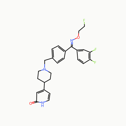 O=c1cc(C2CCN(Cc3ccc(C(=NOCCF)c4ccc(F)c(F)c4)cc3)CC2)cc[nH]1